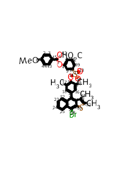 COc1ccc(C(=O)Oc2cc(S(=O)(=O)Oc3c(C)cc(-c4c5ccccc5c(Br)c5sc(C)c(C)c45)cc3C)ccc2C(=O)O)cc1